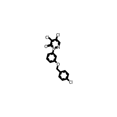 O=c1c(Cl)c(Cl)cnn1-c1cccc(OCc2ccc(Cl)cc2)c1